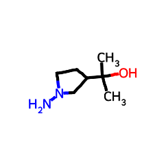 CC(C)(O)C1CCN(N)C1